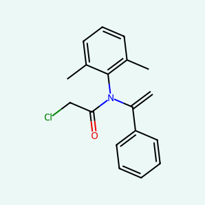 C=C(c1ccccc1)N(C(=O)CCl)c1c(C)cccc1C